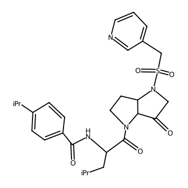 CC(C)CC(NC(=O)c1ccc(C(C)C)cc1)C(=O)N1CCC2C1C(=O)CN2S(=O)(=O)Cc1cccnc1